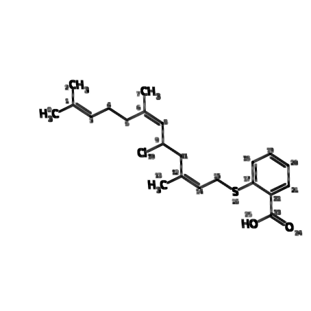 CC(C)=CCCC(C)=CC(Cl)CC(C)=CCSc1ccccc1C(=O)O